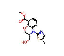 COC(=O)c1cccc2c1OC[C@H](CO)N2c1ncc(C)s1